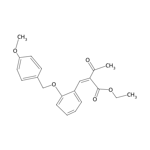 CCOC(=O)C(=Cc1ccccc1OCc1ccc(OC)cc1)C(C)=O